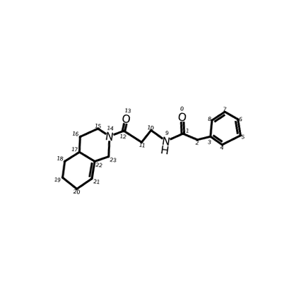 O=C(Cc1ccccc1)NCCC(=O)N1CCC2CCCC=C2C1